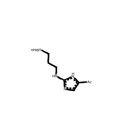 CCCCCCCCCCNc1ncc(C(C)=O)[nH]1